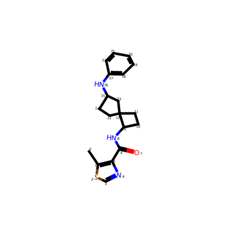 Cc1scnc1C(=O)NC1CCC12CCC(Nc1ccccc1)C2